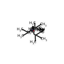 CCCCCCCCCC(CCCCCCCC)OCCCNC(=O)/C(=N\Nc1ccccc1C(=O)OCCCCCCCCC(CCCCCCCCC)C(CCCCCCCCC)CCCCCCCCOC(=O)c1ccccc1NNC(C(C)=O)C(=O)NCCCOC(CCCCCCCC)CCCCCCCCC)C(C)=O